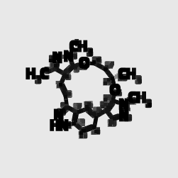 Cc1nn(C)c2c1/C=C/c1n[nH]c3ccc(cc13)-c1cnn(C)c1O[C@@H](C)CCO2